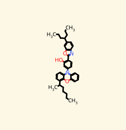 CCCCCC(C)c1cccc2c1Oc1ccccc1N2c1ccc(-c2nc3ccc(C(CCC)CCC)cc3o2)c(O)c1